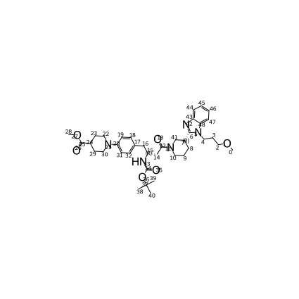 COCCCn1c([C@@H]2CCCN(C(=O)C[C@@H](Cc3ccc(N4CCC(C(=O)OC)CC4)cc3)NC(=O)OC(C)(C)C)C2)nc2ccccc21